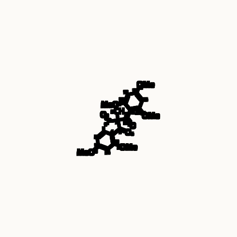 COc1ccc(C(=O)C(C)(P=O)C(=O)c2c(OC)cc(OC)cc2OC)c(OC)c1